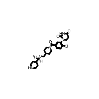 [2H]C([2H])(OCC1CCN(C(=O)c2ccc(Cl)c(N3CCC(=O)NC3=O)c2)CC1)C1CCNCC1